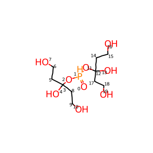 O=[PH](OC(O)(CCO)CCO)OC(O)(CCO)CCO